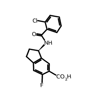 O=C(O)c1cc2c(cc1F)CC[C@H]2NC(=O)c1ccccc1Cl